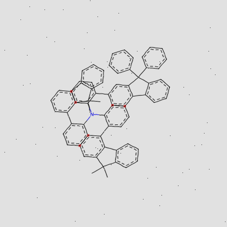 CC1(C)c2ccccc2-c2c(-c3ccccc3N(c3ccccc3-c3ccc4c(c3)C(c3ccccc3)(c3ccccc3)c3ccccc3-4)c3ccccc3-c3cccc4c3C(C)(C)c3ccccc3-4)cccc21